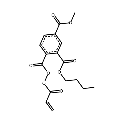 C=CC(=O)OOC(=O)c1ccc(C(=O)OC)cc1C(=O)OCCCC